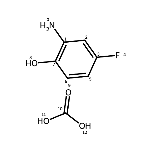 Nc1cc(F)ccc1O.O=C(O)O